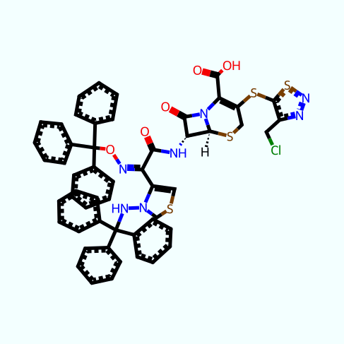 O=C(O)C1=C(Sc2snnc2CCl)CS[C@H]2[C@H](NC(=O)/C(=N\OC(c3ccccc3)(c3ccccc3)c3ccccc3)C3=CSCN3NC(c3ccccc3)(c3ccccc3)c3ccccc3)C(=O)N12